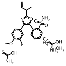 C.C=CC(C)c1nc(-c2ccc(OC)c(F)c2)c(-c2ccccc2S(N)(=O)=O)o1.NC(O)=S.NC(O)=S.O